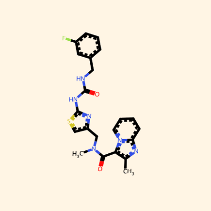 Cc1nc2ccccn2c1C(=O)N(C)Cc1csc(NC(=O)NCc2cccc(F)c2)n1